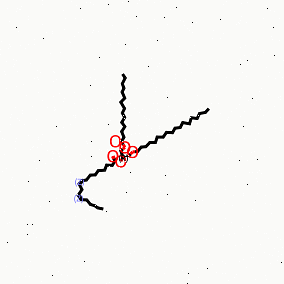 CCCCC/C=C\C/C=C\CCCCCCCC(=O)O[C@H](COCCCCCCCCCCCCCCCCCC)COC(=O)CCCCCCCCCCCCCC